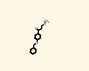 COCCC(=O)c1ccc(OCc2ccccc2)cc1